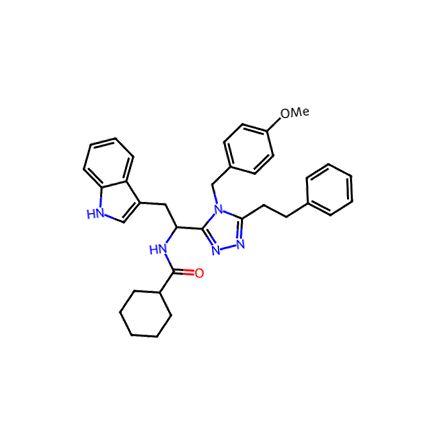 COc1ccc(Cn2c(CCc3ccccc3)nnc2C(Cc2c[nH]c3ccccc23)NC(=O)C2CCCCC2)cc1